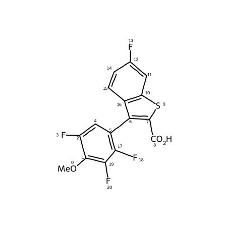 COc1c(F)cc(-c2c(C(=O)O)sc3cc(F)ccc23)c(F)c1F